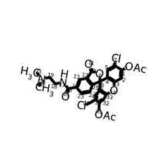 CC(=O)Oc1cc2c(cc1Cl)C1(OC(=O)c3cc(C(=O)NCCN(C)C)ccc31)c1cc(Cl)c(OC(C)=O)cc1O2